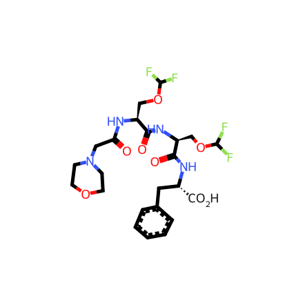 O=C(CN1CCOCC1)N[C@@H](COC(F)F)C(=O)N[C@@H](COC(F)F)C(=O)N[C@@H](Cc1ccccc1)C(=O)O